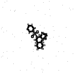 O=S(=O)(c1ccccc1)c1cc2ccccc2n2nnnc12